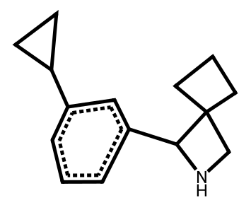 c1cc(C2CC2)cc(C2NCC23CCC3)c1